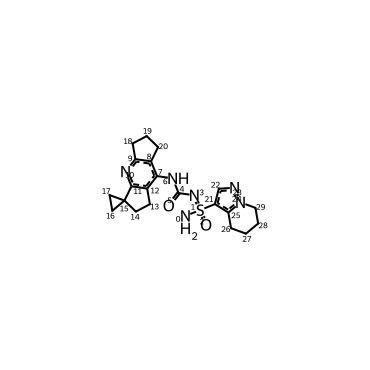 NS(=O)(=NC(=O)Nc1c2c(nc3c1CCC31CC1)CCC2)c1cnn2c1CCCC2